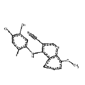 COc1cccc2c(Nc3cc(O)c(Cl)cc3F)c(C#N)cnc12